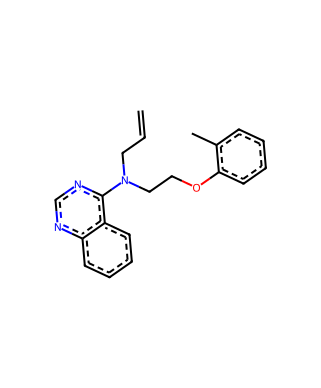 C=CCN(CCOc1ccccc1C)c1ncnc2ccccc12